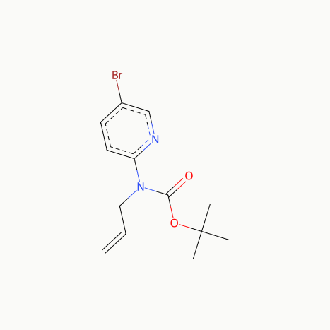 C=CCN(C(=O)OC(C)(C)C)c1ccc(Br)cn1